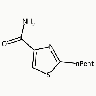 CCCCCc1nc(C(N)=O)cs1